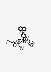 Cc1cccc2cccc(N3CCc4c(nc(OCC5CCN5C(C)C)nc4N4CCN(C(=O)/C=C/CF)[C@@H](CC#N)C4)C3)c12